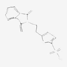 NS(=O)(=O)c1ccc(CCN2C(=O)c3ccccc3C2=O)s1